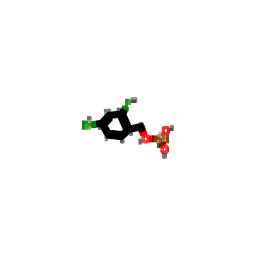 O=[SH](=O)O[CH]c1ccc(Br)cc1F